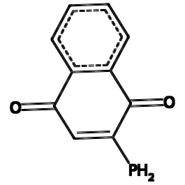 O=C1C=C(P)C(=O)c2ccccc21